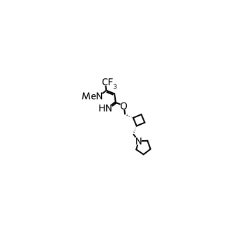 CN/C(=C\C(=N)OC[C@@H]1CC[C@@H]1CN1CCCC1)C(F)(F)F